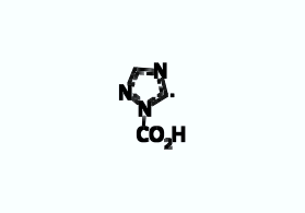 O=C(O)n1[c]ncn1